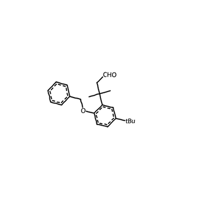 CC(C)(C)c1ccc(OCc2ccccc2)c(C(C)(C)CC=O)c1